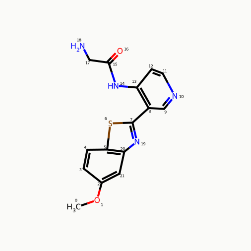 COc1ccc2sc(-c3cnccc3NC(=O)CN)nc2c1